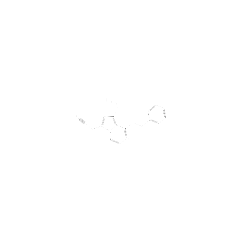 CSc1cc(CC#N)n2ccnc(OCc3ccccc3)c12